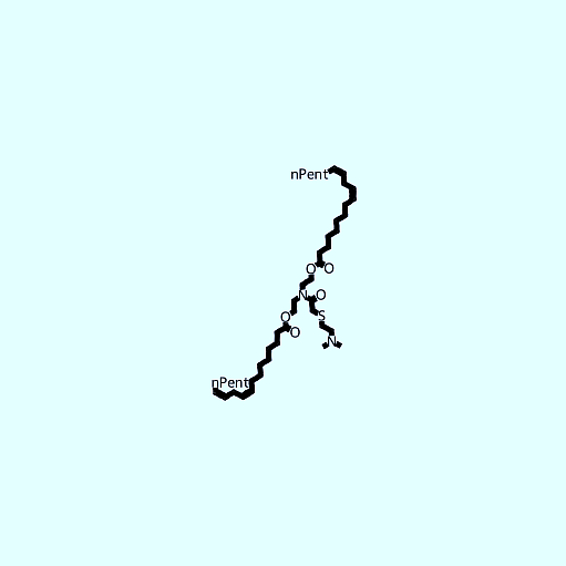 CCCCC/C=C\C/C=C\CCCCCCCC(=O)OCCN(CCOC(=O)CCCCCCC/C=C\C/C=C\CCCCC)C(=O)CSCCN(C)C